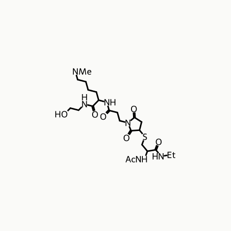 CCNC(=O)C(CSC1CC(=O)N(CCC(=O)NC(CCCCNC)C(=O)NCCO)C1=O)NC(C)=O